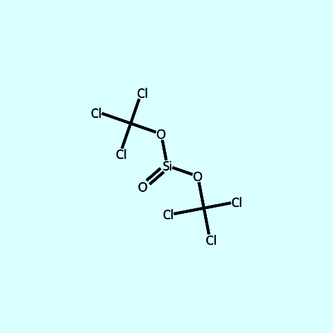 O=[Si](OC(Cl)(Cl)Cl)OC(Cl)(Cl)Cl